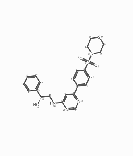 O=S(=O)(c1ccc(-c2cc(NC[C@H](O)c3ccccc3)ncn2)cc1)N1CCSCC1